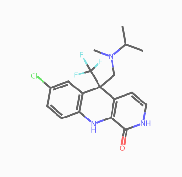 CC(C)N(C)CC1(C(F)(F)F)c2cc(Cl)ccc2Nc2c1cc[nH]c2=O